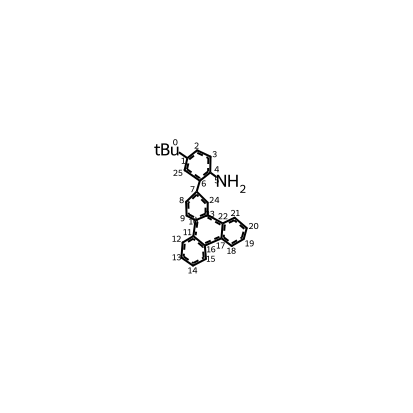 CC(C)(C)c1ccc(N)c(-c2ccc3c4ccccc4c4ccccc4c3c2)c1